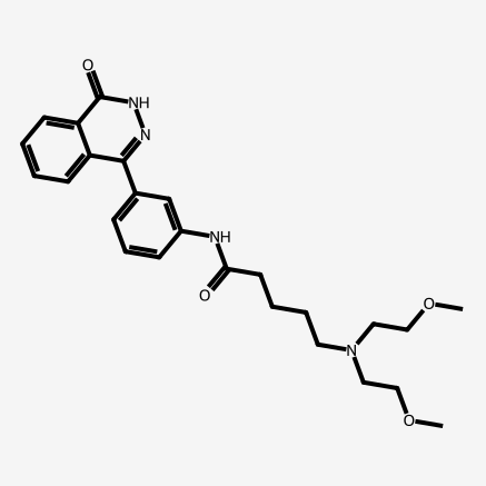 COCCN(CCCCC(=O)Nc1cccc(-c2n[nH]c(=O)c3ccccc23)c1)CCOC